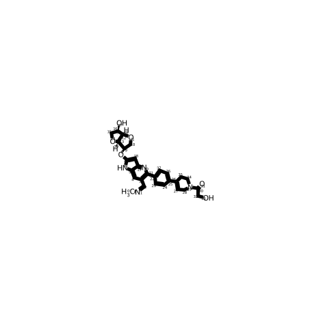 C/N=C\c1cc2[nH]c(O[C@@H]3CO[C@H]4[C@@H]3OC[C@H]4O)cc2nc1-c1ccc(C2=CCN(C(=O)CO)CC2)cc1